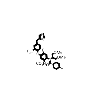 COCC(COC)N(c1cc(F)c(Oc2ccc(Cc3cncs3)cc2C(F)(F)F)cc1C(=O)O)C(=O)[C@H]1CC[C@H](C)CC1